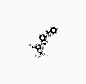 CC1(C)OC2[C@@H](CO)O[C@@H](n3cnc4c(NC(=O)c5ccccc5)ncnc43)[C@H]2O1